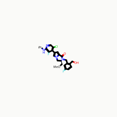 COC[C@H]1Cn2cc(-c3c(Cl)cnc(NC(C)C)c3F)cc2C(=O)N1Cc1cc(F)ccc1CO